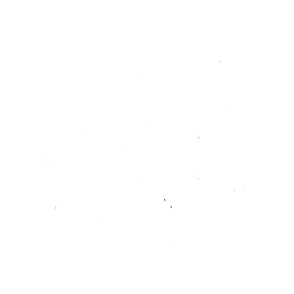 CN(C(=O)C1CCCCC1)c1ccccc1